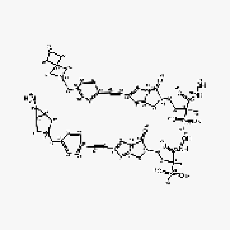 CC(CCN1Cc2cc(C#Cc3ccc(CN4CC5C(N)C5C4)cc3)cn2C1=O)(C(=O)NO)S(C)(=O)=O.C[C@@](CCN1Cc2cc(C#Cc3ccc(CN4CC5(COC5)C4)cc3)cn2C1=O)(C(=O)NO)S(C)(=O)=O